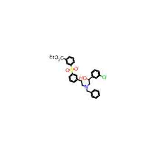 CCOC(=O)c1cccc(S(=O)(=O)c2cccc(CCN(Cc3ccccc3)C[C@@H](O)c3cccc(Cl)c3)c2)c1